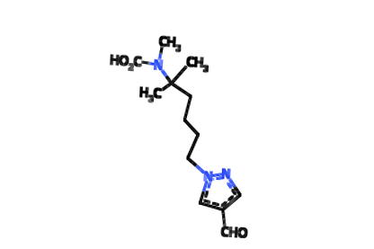 CN(C(=O)O)C(C)(C)CCCCn1cc(C=O)cn1